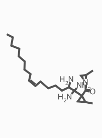 CCCCCCCC/C=C\CCCCC(N)C(N)(N)C1(C(=O)N2CC2C)CC1C